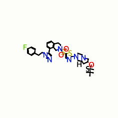 CC(C)(C)[Si](C)(C)O[C@@H]1C[C@H]2CN(c3ncc(S(=O)(=O)N4CCc5cccc(-c6cncn6CCc6ccc(F)cc6)c5C4)s3)CCN2C1